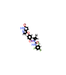 O=C1CCc2c(Oc3ccc(O)c([C@@H]4[C@@H]5C[C@@]45NC(=O)Nc4c(F)cc(F)cc4F)c3)ccnc2N1